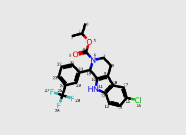 CC(C)OC(=O)N1CCc2c([nH]c3ccc(Cl)cc23)C1c1cccc(C(F)(F)F)c1